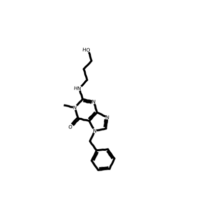 Cn1c(NCCCO)nc2ncn(Cc3ccccc3)c2c1=O